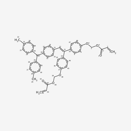 C=CC(=O)OCOc1ccc(C(=Cc2ccc(N(c3ccc(C)cc3)c3ccc(C)cc3)cc2)c2ccc(OCOC(=O)C=C)cc2)cc1